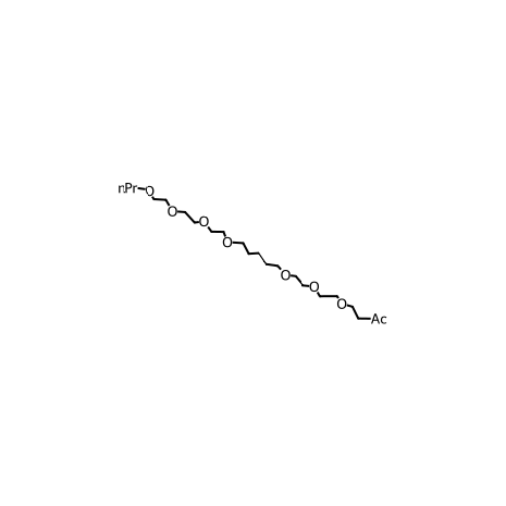 CCCOCCOCCOCCOCCCCCOCCOCCOCCC(C)=O